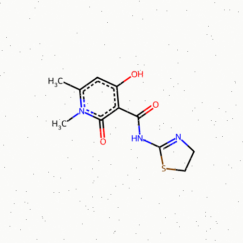 Cc1cc(O)c(C(=O)NC2=NCCS2)c(=O)n1C